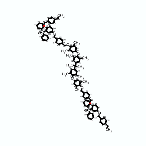 C=Cc1ccc(COc2ccc(OCc3ccc(COc4c(C)cc(Oc5c(C)cc(C(C)(C)c6cc(C)c(Oc7cc(C)c(OCc8ccc(COc9ccc(OCc%10ccc(C=C)cc%10)c(P(=O)(c%10ccccc%10)c%10ccccc%10)c9)cc8)c(C)c7)c(C)c6)cc5C)cc4C)cc3)c(P(=O)(c3ccccc3)c3ccccc3)c2)cc1